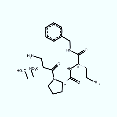 CC(=O)O.CC(=O)O.NCCC(=O)N1CCC[C@H]1C(=O)N[C@@H](CCN)C(=O)NCc1ccccc1